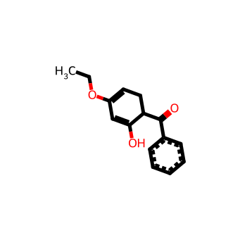 CCOC1=CCC(C(=O)c2ccccc2)C(O)=C1